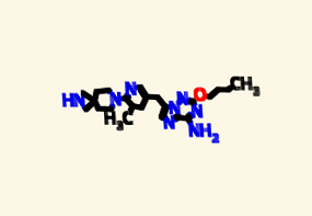 CCCCOc1nc(N)c2ncc(CC3=CN=C(N4CCC5(CC4)CNC5)C(C)C3)n2n1